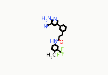 Cc1ccc(NC(=O)CCc2cccc(-c3cnc(N)c(C#N)c3)c2)cc1C(F)(F)F